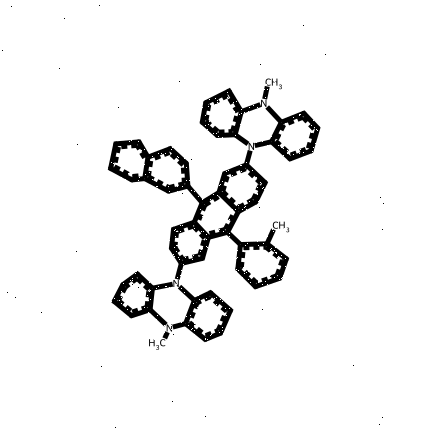 Cc1ccccc1-c1c2ccc(N3c4ccccc4N(C)c4ccccc43)cc2c(-c2ccc3ccccc3c2)c2ccc(N3c4ccccc4N(C)c4ccccc43)cc12